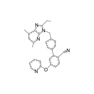 CCc1nc2c(C)cc(C)nc2n1Cc1ccc(-c2cc(Oc3ccccn3)ccc2C#N)cc1